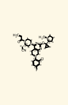 C=CC(=O)N1CCN(c2nc(OC3([C@@H]4CCCN4C)CC3)nc3c2CCN(c2ccc(F)cc2Cl)C3)C[C@@H]1CC#N